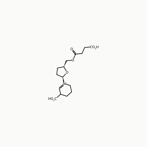 O=C(O)CCC(=O)OC[C@@H]1CC[C@H]([N+]2=CC(C(=O)O)CCC2)O1